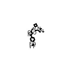 Cn1cnc(C(=O)N(Cc2cc(-c3ccc(OC(F)(F)F)cc3)no2)C2CCC2)c1